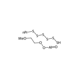 CCCSSSSSS.COCCO[O][Al]=[O]